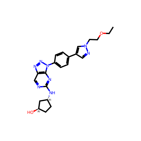 CCOCCn1cc(-c2ccc(-n3nnc4cnc(N[C@@H]5CC[C@@H](O)C5)nc43)cc2)cn1